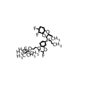 C=CCN(C(=O)C(=CC)Oc1ccc(F)c(F)c1)c1ccc(OCCO[Si](C)(C)C(C)(C)C)c(OC(F)F)c1